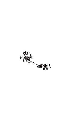 Cc1ncsc1-c1ccc([C@H](C)NC(=O)[C@@H]2C[C@@H](O)CN2C(=O)[C@@H](NC(=O)CCCCCCCCCCCCCCCC(=O)N(C)Cc2ccc(CCOc3cc(-c4ccccc4O)nnc3N)cc2)C(C)(C)C)cc1